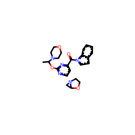 C1CN2CC2O1.CC(Oc1nccc(C(=O)n2ccc3ccccc32)n1)N1CCOCC1